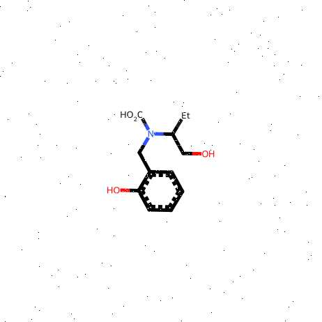 CCC(CO)N(Cc1ccccc1O)C(=O)O